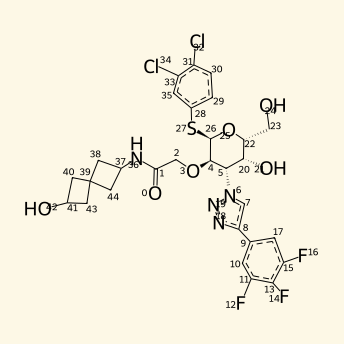 O=C(CO[C@@H]1[C@@H](n2cc(-c3cc(F)c(F)c(F)c3)nn2)[C@@H](O)[C@@H](CO)O[C@@H]1Sc1ccc(Cl)c(Cl)c1)NC1CC2(CC(O)C2)C1